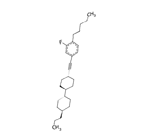 CCCCCc1ccc(C#C[C@H]2CC[C@H]([C@H]3CC[C@H](CCC)CC3)CC2)cc1F